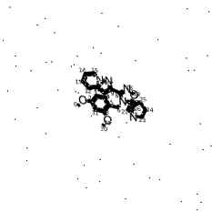 COc1ccc(CN2C(c3cc4ccccn4n3)=NOC23CN2CCC3CC2)c(OC)c1